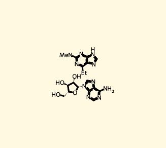 CCc1nc(NC)nc2[nH]cnc12.Nc1ncnc2c1ncn2[C@@H]1O[C@H](CO)[C@@H](O)[C@@H]1O